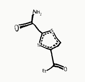 CCC(=O)c1csc(C(N)=O)n1